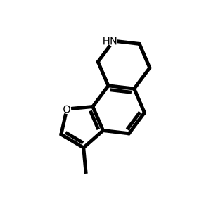 Cc1coc2c3c(ccc12)CCNC3